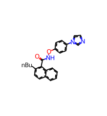 CCCCc1ccc2ccccc2c1C(=O)NOc1ccc(-n2ccnc2)cc1